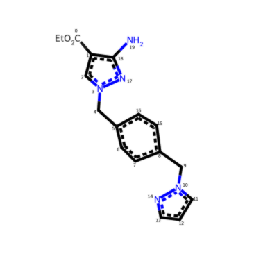 CCOC(=O)c1cn(Cc2ccc(Cn3cccn3)cc2)nc1N